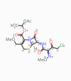 COCC1=C(C(=O)OC(C)OC(C)=O)N2C(=O)C(NC(=O)/C(=N\OC)C(=O)CCl)[C@H]2SC1